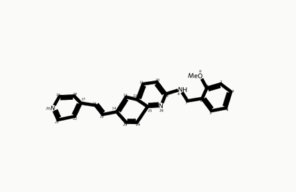 COc1ccccc1CNc1ccc2cc(C=Cc3ccncc3)ccc2n1